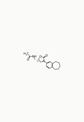 CC(=O)NC[C@H]1CN(c2ccc3c(c2)CCCCC3)C(=O)O1